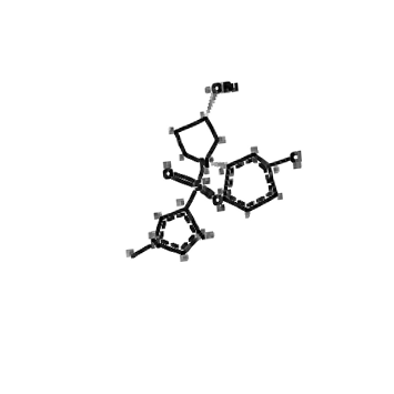 CC(C)CO[C@H]1CC[N@+](c2cccc(Cl)c2)(S(=O)(=O)c2cn(C)cn2)C1